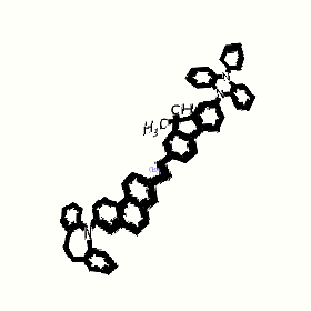 CC1(C)c2cc(/C=C/c3ccc4c(ccc5cc(N6c7ccccc7CCc7ccccc76)ccc54)c3)ccc2-c2ccc(N3c4ccccc4N(C4C=CC=CC4)c4ccccc43)cc21